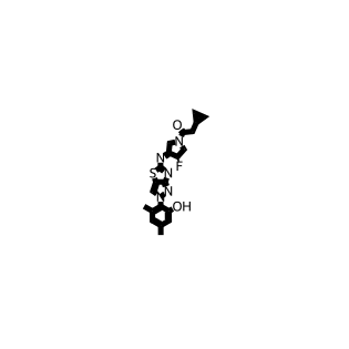 Cc1cc(C)c(-n2cc3sc(/N=C4/CN(C(=O)CC5CC5)C[C@@H]4F)nc3n2)c(O)c1